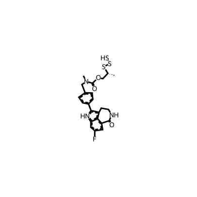 C[C@H](COC(=O)N(C)Cc1ccc(-c2[nH]c3cc(F)cc4c3c2CCNC4=O)cc1)SSS